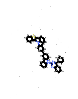 c1ccc(-c2nc(-n3c4ccccc4c4cc(-c5ccc6c(c5)c5cccc7c8sc9ccccc9c8n6c57)ccc43)nc3ccccc23)cc1